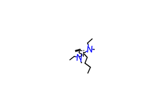 C=C[Si](CCCC)(N(C)CC)N(C)CC